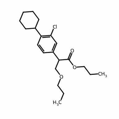 CCCOCC(C(=O)OCCC)c1ccc(C2CCCCC2)c(Cl)c1